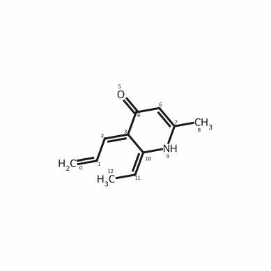 C=C/C=c1/c(=O)cc(C)[nH]/c1=C/C